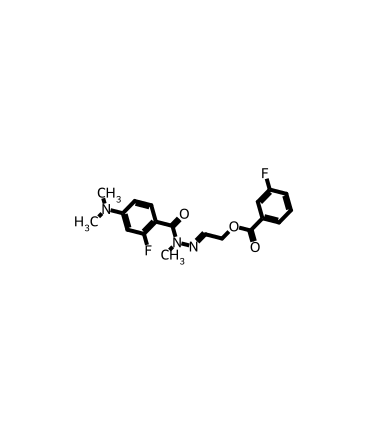 CN(N=CCOC(=O)c1cccc(F)c1)C(=O)c1ccc(N(C)C)cc1F